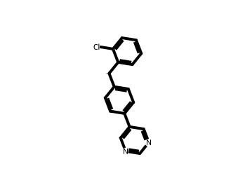 Clc1ccccc1[CH]c1ccc(-c2cncnc2)cc1